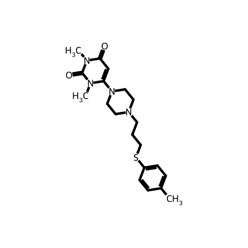 Cc1ccc(SCCCN2CCN(c3cc(=O)n(C)c(=O)n3C)CC2)cc1